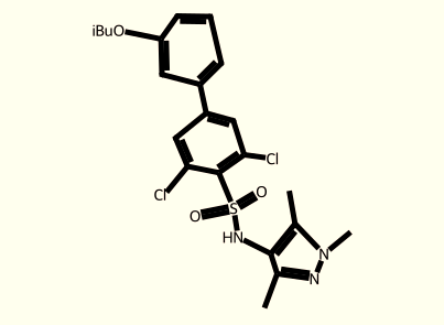 Cc1nn(C)c(C)c1NS(=O)(=O)c1c(Cl)cc(-c2cccc(OCC(C)C)c2)cc1Cl